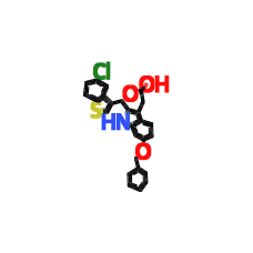 O=C(O)Cc1c(Cc2csc3ccc(Cl)cc23)[nH]c2cc(OCc3ccccc3)ccc12